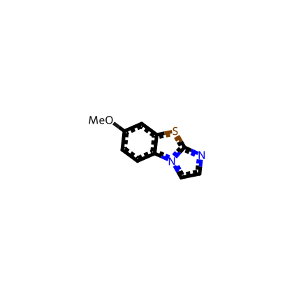 COc1ccc2c(c1)sc1nccn12